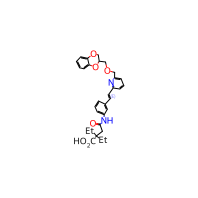 CCC(CC)(CC(=O)Nc1cccc(/C=C/c2cccc(COCC3COc4ccccc4O3)n2)c1)C(=O)O